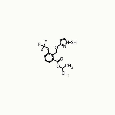 CC(C)OC(=O)c1cccc(SC(F)(F)F)c1COc1ccn(S)n1